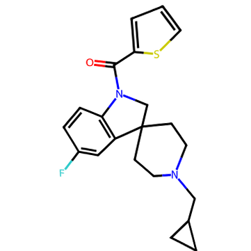 O=C(c1cccs1)N1CC2(CCN(CC3CC3)CC2)c2cc(F)ccc21